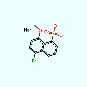 COc1ccc(Br)c2cccc(S(=O)(=O)[O-])c12.[Na+]